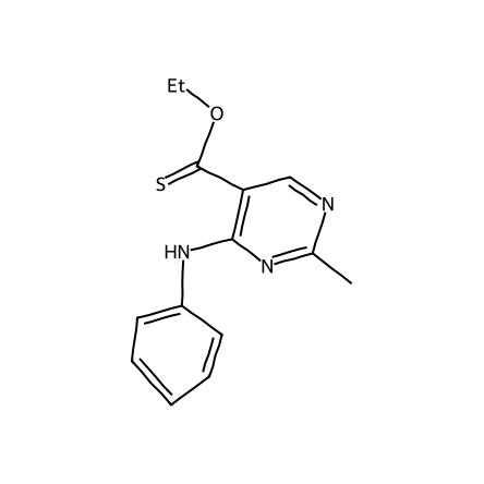 CCOC(=S)c1cnc(C)nc1Nc1ccccc1